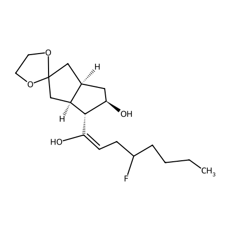 CCCCC(F)C/C=C(/O)[C@@H]1[C@H]2CC3(C[C@H]2C[C@H]1O)OCCO3